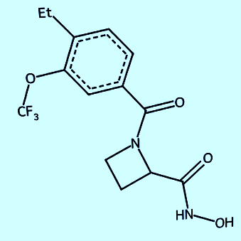 CCc1ccc(C(=O)N2CCC2C(=O)NO)cc1OC(F)(F)F